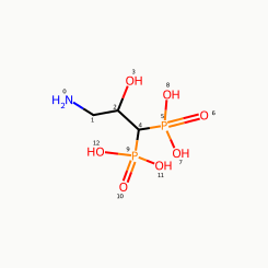 NCC(O)C(P(=O)(O)O)P(=O)(O)O